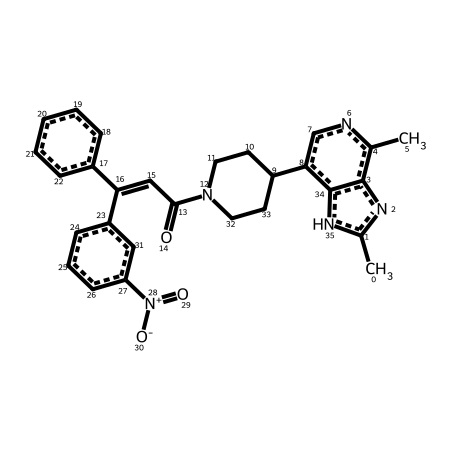 Cc1nc2c(C)ncc(C3CCN(C(=O)C=C(c4ccccc4)c4cccc([N+](=O)[O-])c4)CC3)c2[nH]1